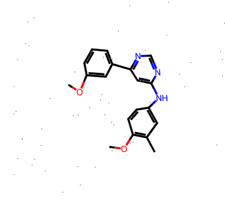 COc1cccc(-c2cc(Nc3ccc(OC)c(C)c3)ncn2)c1